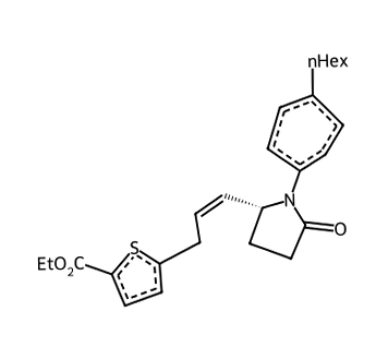 CCCCCCc1ccc(N2C(=O)CC[C@@H]2/C=C\Cc2ccc(C(=O)OCC)s2)cc1